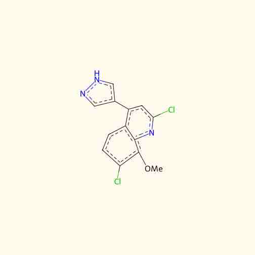 COc1c(Cl)ccc2c(-c3cn[nH]c3)cc(Cl)nc12